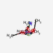 CCCCCCCCCCCCOC(=O)C(C)OC(=O)c1ccc(Cl)c(NC(=O)C(Cc2ccccc2C(=O)Oc2ccc(CSc3nnnn3C)cc2)C(=O)Nc2cc(OC(=O)C(C)OC(=O)CCCCCCCCCCCC)ccc2Cl)c1